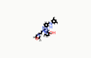 Cc1cc(C)cc(NCc2ccc3nc(NCCCN4C[C@@H](C)O[C@@H](C)C4)n(Cc4nc(C)ccc4O)c3c2)c1